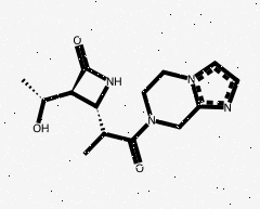 CC(C(=O)N1CCn2ccnc2C1)[C@H]1NC(=O)[C@@H]1[C@@H](C)O